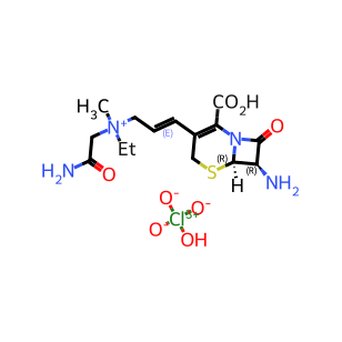 CC[N+](C)(C/C=C/C1=C(C(=O)O)N2C(=O)[C@@H](N)[C@H]2SC1)CC(N)=O.[O-][Cl+3]([O-])([O-])O